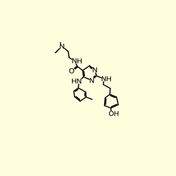 Cc1cccc(Nc2nc(NCCc3ccc(O)cc3)ncc2C(=O)NCCN(C)C)c1